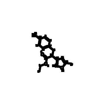 CCOC(=O)C(Cc1ccc(Br)cc1)c1cc(C)on1